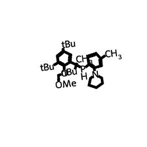 CCCCC(C)(Pc1ccc(C)cc1N1CCCCC1)c1cc(C(C)(C)C)cc(C(C)(C)C)c1OCOC